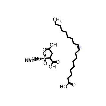 CCCCCCCC/C=C\CCCCCCCC(=O)O.O=C(O)CC(C(=O)O)S(=O)(=O)O.[Na+].[Na+].[Na+].[Na+]